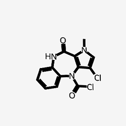 Cn1cc(Cl)c2c1C(=O)Nc1ccccc1N2C(=O)Cl